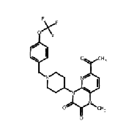 CC(=O)c1ccc2c(n1)n(C1CCN(Cc3ccc(OC(F)(F)F)cc3)CC1)c(=O)c(=O)n2C